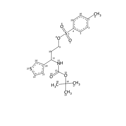 Cc1ccc(S(=O)(=O)OCCC(NC(=O)OC(C)(C)C)c2ccsc2)cc1